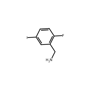 NCc1cc(I)ccc1F